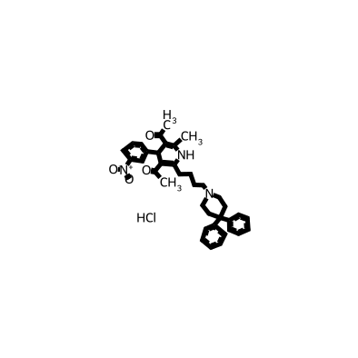 CC(=O)C1=C(C)NC(CCCCN2CCC(c3ccccc3)(c3ccccc3)CC2)=C(C(C)=O)C1c1cccc([N+](=O)[O-])c1.Cl